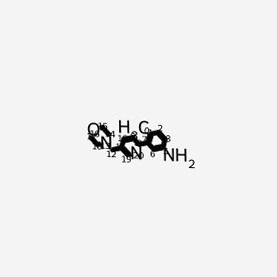 Cc1ccc(N)cc1-c1ccc(CN2CCOCC2)cn1